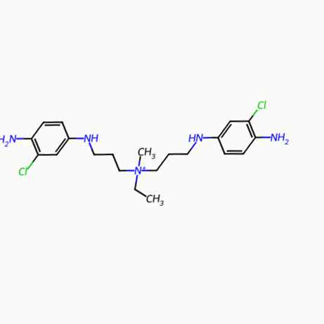 CC[N+](C)(CCCNc1ccc(N)c(Cl)c1)CCCNc1ccc(N)c(Cl)c1